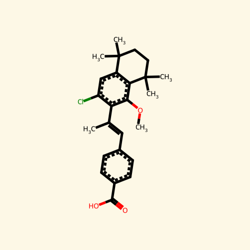 COc1c(C(C)=Cc2ccc(C(=O)O)cc2)c(Cl)cc2c1C(C)(C)CCC2(C)C